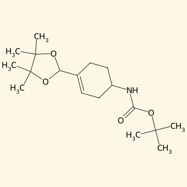 CC(C)(C)OC(=O)NC1CC=C(C2OC(C)(C)C(C)(C)O2)CC1